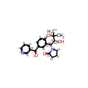 CC1(C)Oc2ccc(C(=O)c3cccnc3)cc2[C@@H](N2CCCC2=O)[C@@H]1O